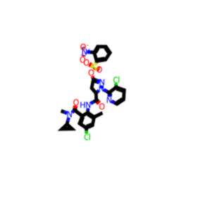 Cc1cc(Cl)cc(C(=O)N(C)C2CC2)c1NC(=O)C1CC(OS(=O)(=O)c2ccccc2[N+](=O)[O-])=NN1c1ncccc1Cl